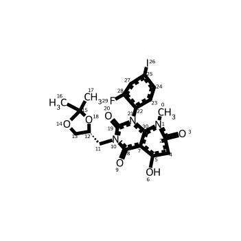 Cn1c(=O)cc(O)c2c(=O)n(C[C@@H]3COC(C)(C)O3)c(=O)n(-c3ccc(I)cc3F)c21